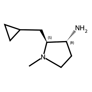 CN1CC[C@@H](N)[C@@H]1CC1CC1